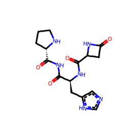 O=C1CC(C(=O)N[C@@H](Cc2cnc[nH]2)C(=O)NC(=O)[C@@H]2CCCN2)N1